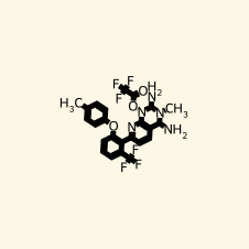 Cc1ccc(Oc2cccc(C(F)(F)F)c2-c2ccc3c(n2)N(OC(=O)C(F)(F)F)C(N)N(C)C3N)cc1